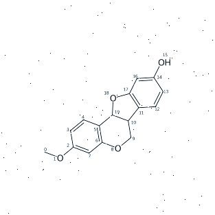 COc1ccc2c(c1)OCC1c3ccc(O)cc3OC21